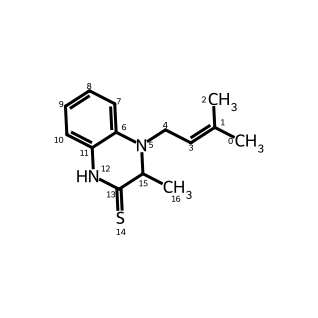 CC(C)=CCN1c2ccccc2NC(=S)C1C